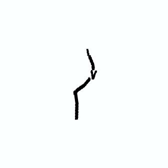 C[CH2][V][I]